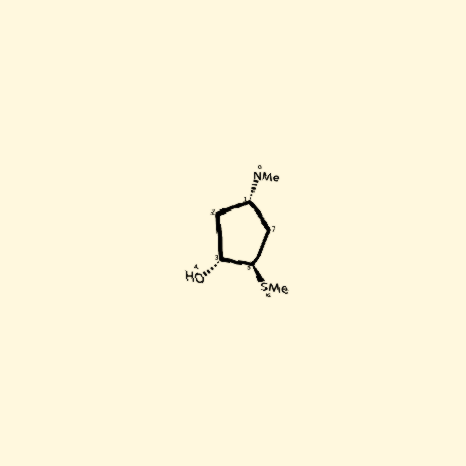 CN[C@H]1C[C@@H](O)[C@H](SC)C1